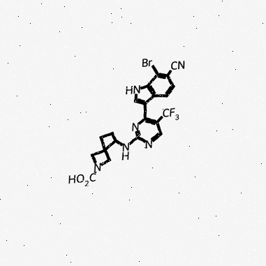 N#Cc1ccc2c(-c3nc(NC4CCC45CN(C(=O)O)C5)ncc3C(F)(F)F)c[nH]c2c1Br